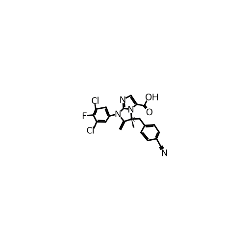 C=C1N(c2cc(Cl)c(F)c(Cl)c2)c2ncc(C(=O)O)n2[C@]1(C)Cc1ccc(C#N)cc1